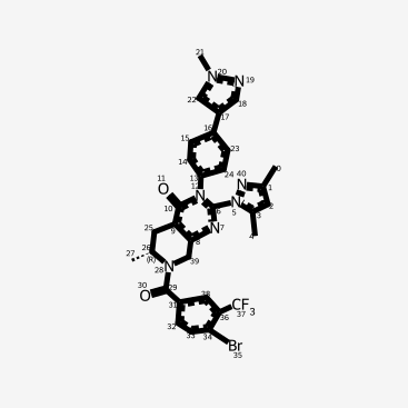 Cc1cc(C)n(-c2nc3c(c(=O)n2-c2ccc(-c4cnn(C)c4)cc2)C[C@@H](C)N(C(=O)c2ccc(Br)c(C(F)(F)F)c2)C3)n1